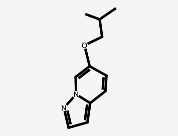 CC(C)COc1ccc2ccnn2c1